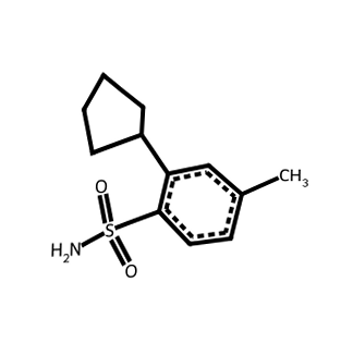 Cc1ccc(S(N)(=O)=O)c(C2CCCC2)c1